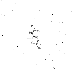 CCC(C)C(=O)OC(C)C(=O)NC(=O)C(C)C